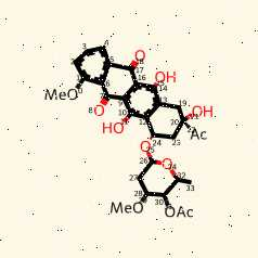 COc1cccc2c1C(=O)c1c(O)c3c(c(O)c1C2=O)C[C@@](O)(C(C)=O)C[C@@H]3OC1CC(OC)C(OC(C)=O)C(C)O1